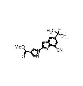 COC(=O)c1cnn(-c2cc3cc(C(C)(C)F)cc(C#N)c3s2)c1